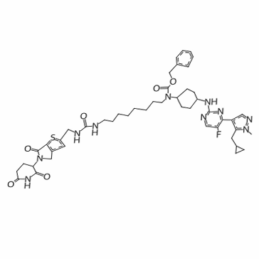 Cn1ncc(-c2nc(NC3CCC(N(CCCCCCCCNC(=O)NCc4cc5c(s4)C(=O)N(C4CCC(=O)NC4=O)C5)C(=O)OCc4ccccc4)CC3)ncc2F)c1CC1CC1